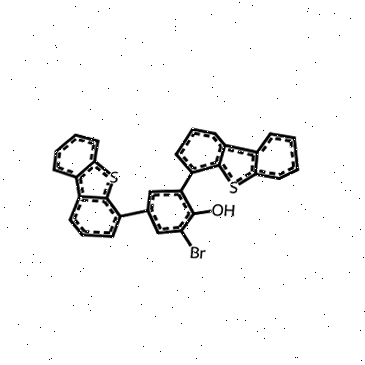 Oc1c(Br)cc(-c2cccc3c2sc2ccccc23)cc1-c1cccc2c1sc1ccccc12